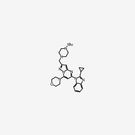 CC(C)(C)N1CCN(Cc2cc3nc(-n4c(C5CC5)nc5ccccc54)cc(N4CCOCC4)n3n2)CC1